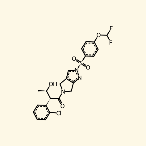 C[C@@H](O)[C@H](C(=O)N1Cc2cn(S(=O)(=O)c3ccc(OC(F)F)cc3)nc2C1)c1ccccc1Cl